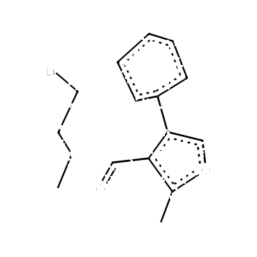 Cc1occ(-c2ccccc2)c1C=O.[Li][CH2]CCC